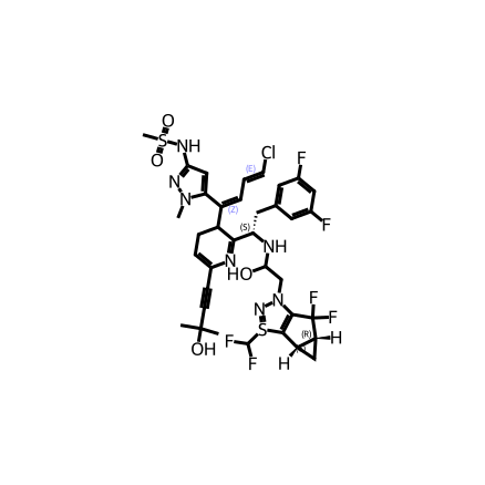 Cn1nc(NS(C)(=O)=O)cc1/C(=C\C=C\Cl)C1CC=C(C#CC(C)(C)O)N=C1[C@H](Cc1cc(F)cc(F)c1)NC(O)CN1N=S(C(F)F)C2=C1C(F)(F)[C@@H]1C[C@H]21